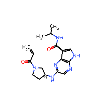 C=CC(=O)N1CC[C@H](Nc2cnc3[nH]cc(C(=O)NC(C)C)c3n2)C1